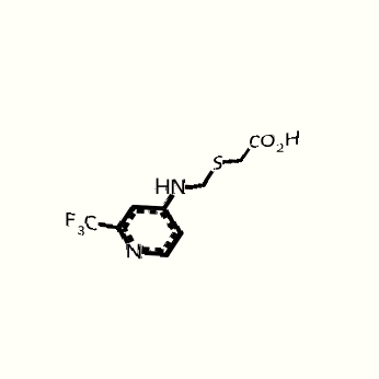 O=C(O)CSCNc1ccnc(C(F)(F)F)c1